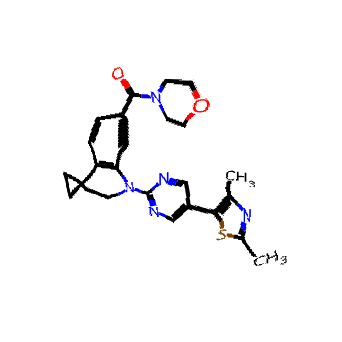 Cc1nc(C)c(-c2cnc(N3CC4(CC4)c4ccc(C(=O)N5CCOCC5)cc43)nc2)s1